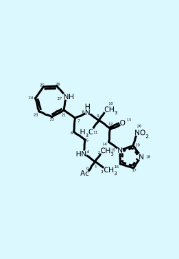 CC(=O)C(C)(C)NCCC(NC(C)(C)C(=O)Cn1ccnc1[N+](=O)[O-])C1=CC=CC=CN1